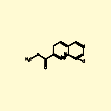 COC(=O)C1=C2C=CN(Cl)C23C=CN=CC3=CC1